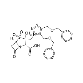 C[C@]1(Cn2nnc(COCc3ccccc3)c2COCc2ccccc2)[C@H](C(=O)O)N2C(=O)C[C@H]2S1(=O)=O